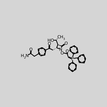 C[C@@H](O)[C@H]1C(=O)N(OC(=O)C=P(c2ccccc2)(c2ccccc2)c2ccccc2)[C@@H]1CC(=O)c1ccc(CC(N)=O)cc1